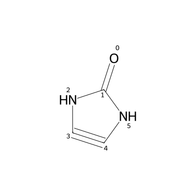 O=c1[nH]c#c[nH]1